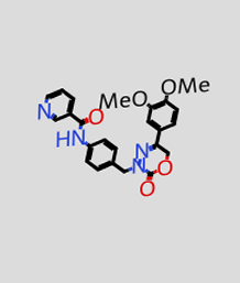 COc1ccc(C2=NN(Cc3ccc(NC(=O)c4cccnc4)cc3)C(=O)OC2)cc1OC